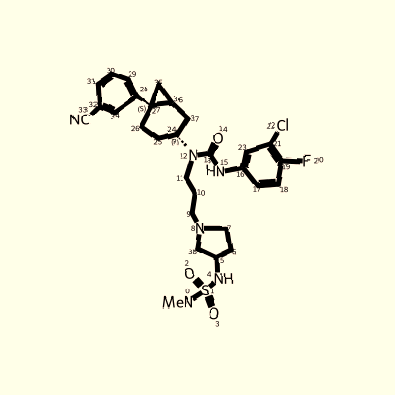 CNS(=O)(=O)NC1CCN(CCCN(C(=O)Nc2ccc(F)c(Cl)c2)[C@@H]2CC[C@]3(c4cccc(C#N)c4)CC3C2)C1